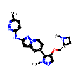 Cc1ccc(Nc2cc3cc(-c4c(OC[C@H]5CCN5C)cnn4C)ccn3n2)nn1